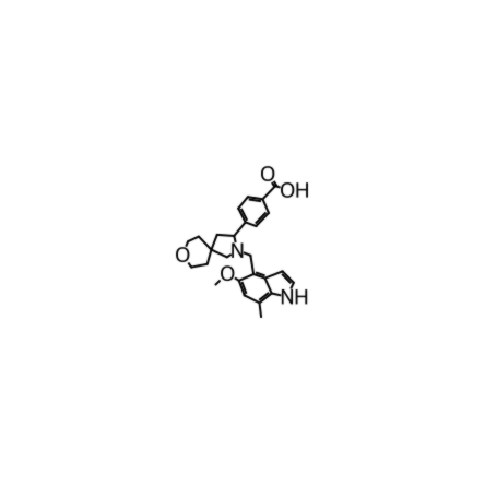 COc1cc(C)c2[nH]ccc2c1CN1CC2(CCOCC2)CC1c1ccc(C(=O)O)cc1